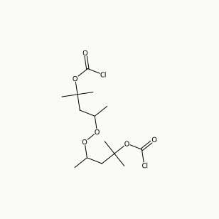 CC(CC(C)(C)OC(=O)Cl)OOC(C)CC(C)(C)OC(=O)Cl